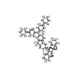 CC1(C)C2=CC=C(N3c4c(oc5ccccc45)C4Sc5ccccc5C43)CC2c2ccc([C@@H](c3ccc(C4=CC=CCC4)cc3)c3ccc(-c4ccccc4)cc3)cc21